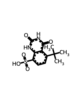 CC(C)(C)c1ccc(S(=O)(=O)O)c2[nH]c(=O)[nH]c(=O)c12